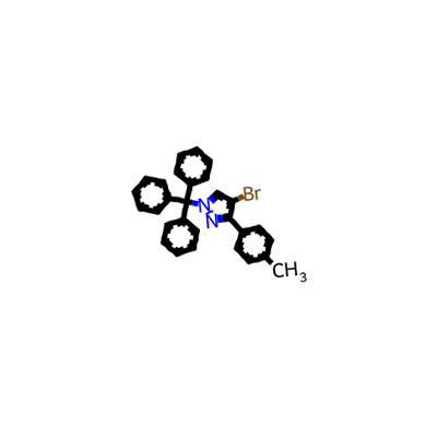 Cc1ccc(-c2nn(C(c3ccccc3)(c3ccccc3)c3ccccc3)cc2Br)cc1